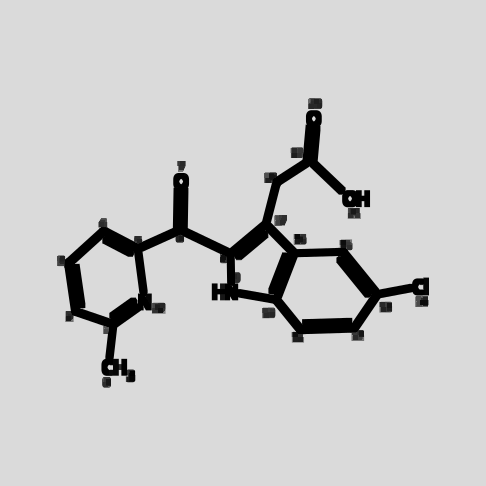 Cc1cccc(C(=O)c2[nH]c3ccc(Cl)cc3c2CC(=O)O)n1